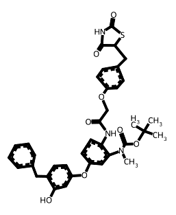 CN(C(=O)OC(C)(C)C)c1cc(Oc2ccc(Cc3ccccc3)c(O)c2)ccc1NC(=O)COc1ccc(CC2SC(=O)NC2=O)cc1